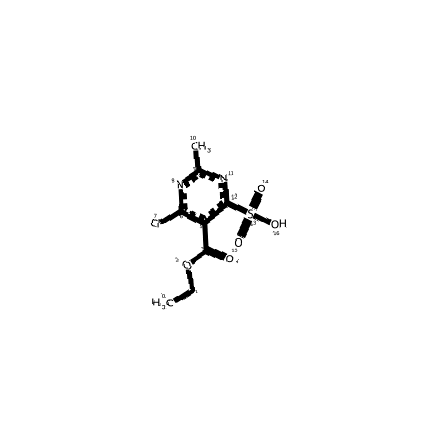 CCOC(=O)c1c(Cl)nc(C)nc1S(=O)(=O)O